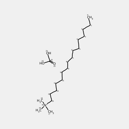 CCCCCCCCCCCCCCCC[N+](C)(C)C.O=C(O)O